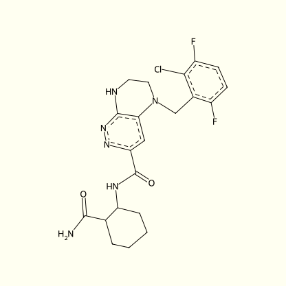 NC(=O)C1CCCCC1NC(=O)c1cc2c(nn1)NCCN2Cc1c(F)ccc(F)c1Cl